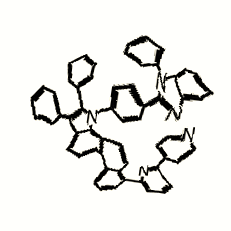 c1ccc(-c2c(-c3ccccc3)n(-c3ccc(-c4nc5ccccc5n4-c4ccccc4)cc3)c3c2ccc2c4cccc(-c5cccc(-c6ccncc6)n5)c4ccc23)cc1